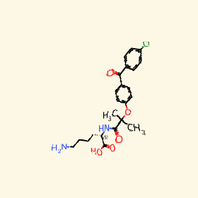 CC(C)(Oc1ccc(C(=O)c2ccc(Cl)cc2)cc1)C(=O)N[C@@H](CCCCN)C(=O)O